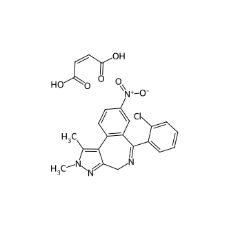 Cc1c2c(nn1C)CN=C(c1ccccc1Cl)c1cc([N+](=O)[O-])ccc1-2.O=C(O)/C=C\C(=O)O